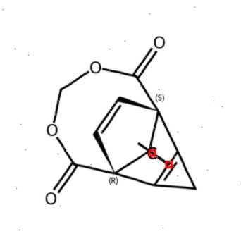 O=C1OCOC(=O)[C@]23C=C[C@]1(C1=C2C1)C31CCCCC1